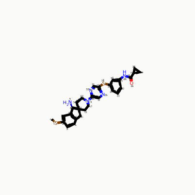 CSc1ccc2c(c1)[C@@H](N)C1(CCN(c3cnc(Sc4cccc(NC(=O)C5CC5)c4)cn3)CC1)C2